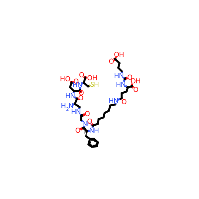 NC(CNC(=O)CNC(=O)[C@H](Cc1ccccc1)NC(=O)CCCCCCCNC(=O)CCC(NC(=O)NCCCC(=O)O)C(=O)O)C(=O)NC(CC(=O)O)C(=O)NC(CS)C(=O)O